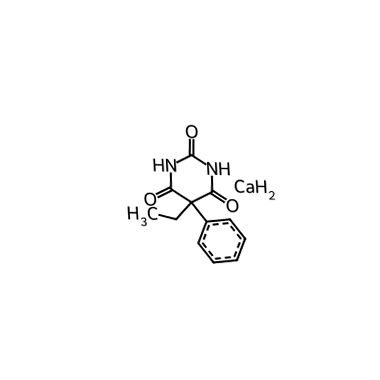 CCC1(c2ccccc2)C(=O)NC(=O)NC1=O.[CaH2]